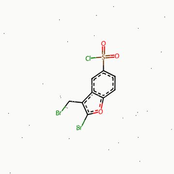 O=S(=O)(Cl)c1ccc2oc(Br)c(CBr)c2c1